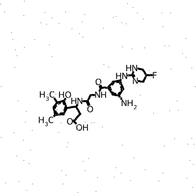 Cc1cc(C)c(O)c(C(CC(=O)O)NC(=O)CNC(=O)c2cc(N)cc(NC3=NCC(F)CN3)c2)c1